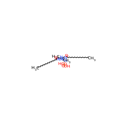 CCCCCCCCCCCCCCCCCC(=O)NCC1=NC(C(C)NC(=O)CCCCCCCCCCCCCCCCC)CN1C.O=S(=O)(O)O